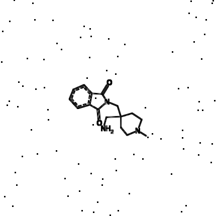 CN1CCC(CN)(CN2C(=O)c3ccccc3C2=O)CC1